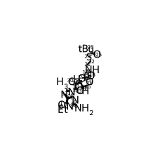 CCOc1nc(N)nc2c1ncn2[C@@H]1O[C@@H]2CO[P@@](=O)(CNCCSC(=O)C(C)(C)C)O[C@H]2[C@@H]1C